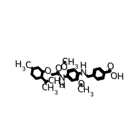 COc1cc(NC(=O)COC2CC(C)CCC2C(C)C)c(OC)cc1NCc1ccc(C(=O)O)cc1